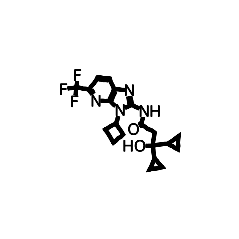 O=C(CC(O)(C1CC1)C1CC1)Nc1nc2ccc(C(F)(F)F)nc2n1C1CCC1